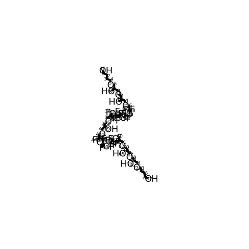 OCCCCOCC(O)COCC(O)COCC(F)(F)OC(F)(F)OC(F)(F)C(F)(F)OC(F)(F)COCC(O)COCC(F)(F)OC(F)(F)OC(F)(F)C(F)(F)OC(F)(F)COCC(O)COCC(O)COCCCCO